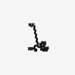 CCCCCCCCCCC(CC(=O)O)CC(OO)(OO)C(=O)O